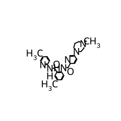 Cc1ccc(NC(=O)c2cc(C)ccc2NC(=O)c2ccc(N3CCCN(C)CC3)cn2)nc1